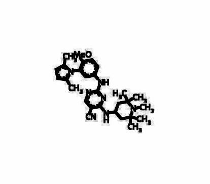 COc1ccc(Nc2ncc(C#N)c(NC3CC(C)(C)N(C)C(C)(C)C3)n2)cc1-n1c(C)ccc1C